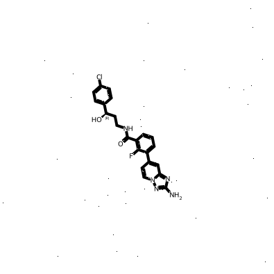 Nc1nc2cc(-c3cccc(C(=O)NCC[C@@H](O)c4ccc(Cl)cc4)c3F)ccn2n1